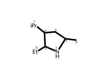 CCC1NC(C)CC1C(C)C